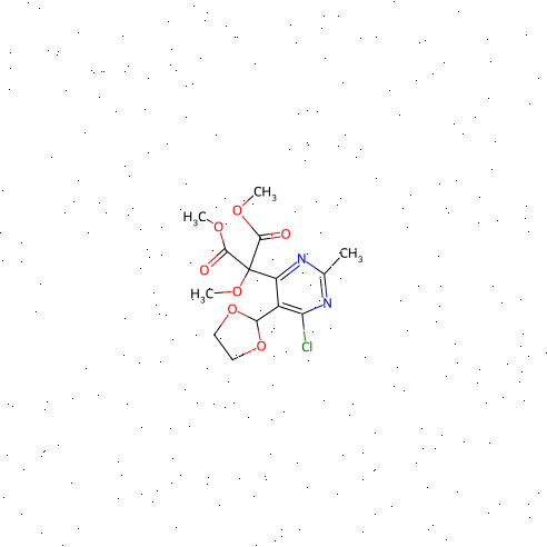 COC(=O)C(OC)(C(=O)OC)c1nc(C)nc(Cl)c1C1OCCO1